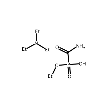 CCN(CC)CC.CCOP(=O)(O)C(N)=O